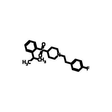 CC(C)c1ccccc1S(=O)(=O)C1CCN(CCc2ccc(F)cc2)CC1